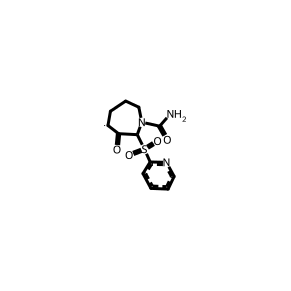 NC(=O)N1CCC[CH]C(=O)C1S(=O)(=O)c1ccccn1